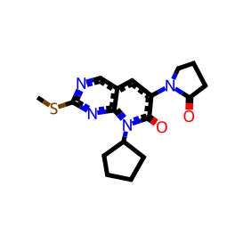 CSc1ncc2cc(N3CCCC3=O)c(=O)n(C3CCCC3)c2n1